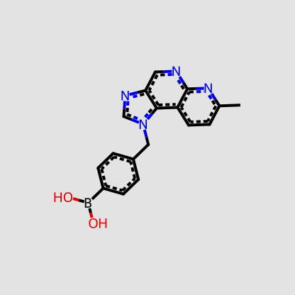 Cc1ccc2c(ncc3ncn(Cc4ccc(B(O)O)cc4)c32)n1